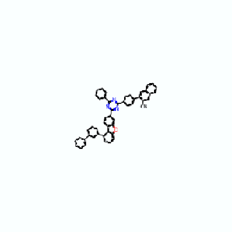 N#Cc1cc2ccccc2cc1-c1ccc(-c2nc(-c3ccccc3)nc(-c3ccc4c(c3)oc3cccc(-c5cccc(-c6ccccc6)c5)c34)n2)cc1